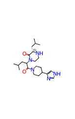 CC(C)CC(C(=O)N1CCC(c2c[nH]cn2)CC1)N1CCN[C@@H](CC(C)C)C1=O